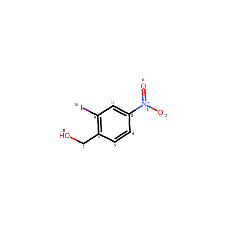 O=[N+]([O-])c1ccc(CO)c(I)c1